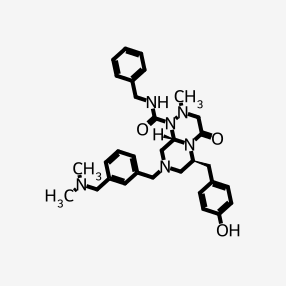 CN(C)Cc1cccc(CN2C[C@H](Cc3ccc(O)cc3)N3C(=O)CN(C)N(C(=O)NCc4ccccc4)[C@H]3C2)c1